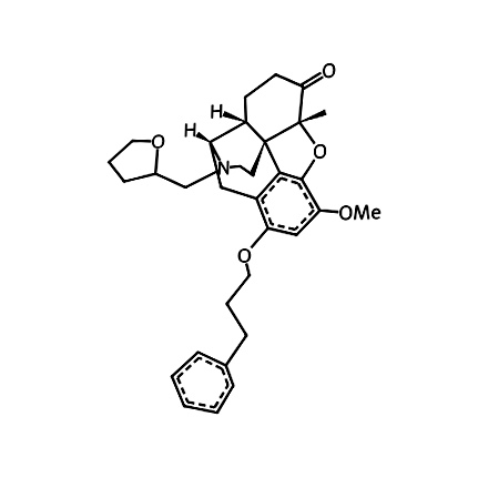 COc1cc(OCCCc2ccccc2)c2c3c1O[C@@]1(C)C(=O)CC[C@H]4[C@@H](C2)N(CC2CCCO2)CC[C@@]341